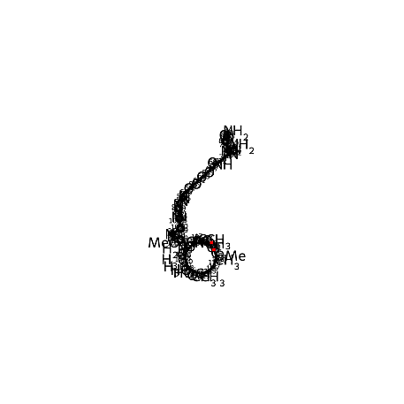 COC1C[C@@H]2CC[C@@H](C)[C@@](O)(O2)C(=O)C(=O)N2CCCCC2C(=O)OC([C@H](N)CC2CC[C@H](n3nncc3-c3cccc(-c4cnc(N5CCN(Cc6cn(CCOCCOCCOCCOCCC(=O)NCCCCn7nc(-c8ccc9oc(N)nc9c8)c8c(N)ncnc87)nn6)CC5)nc4)c3)[C@H](OC)C2)CC(=O)C(C)/C=C(\C)C(O)[C@@H](O)C(=O)C(C)CC(C)/C=C/C=C/C=C/1C